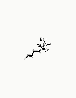 C/C=C/CCS(=O)(=O)N(C)CC